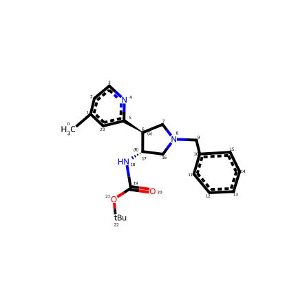 Cc1ccnc([C@H]2CN(Cc3ccccc3)C[C@@H]2NC(=O)OC(C)(C)C)c1